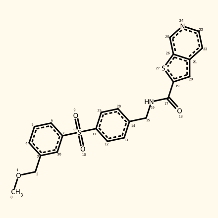 COCc1cccc(S(=O)(=O)c2ccc(CNC(=O)c3cc4ccncc4s3)cc2)c1